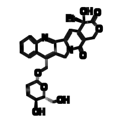 CC[C@@]1(O)C(=O)OCc2c1cc1n(c2=O)Cc2c-1nc1ccccc1c2CO[C@H]1C=C[C@H](O)[C@@H](CO)O1